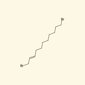 BrCC=CCCCCCCCCBr